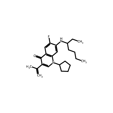 C=C(C)c1cn(C2CCCC2)c2cc(NC(CC)CCCC)c(F)cc2c1=O